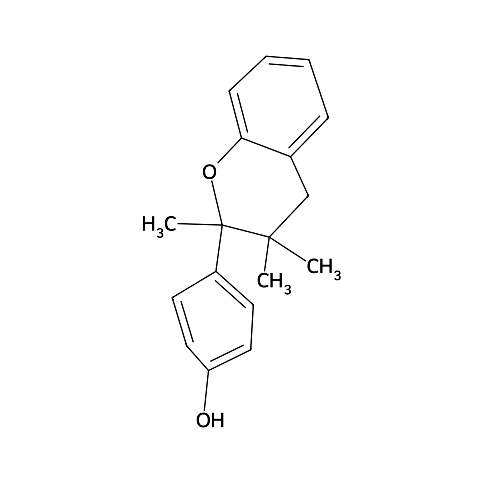 CC1(C)Cc2ccccc2OC1(C)c1ccc(O)cc1